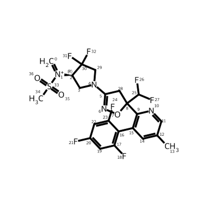 C=[N+]([C@@H]1CN(C2=NOC(c3ncc(C)cc3-c3c(F)cc(F)cc3F)(C(F)F)C2)CC1(F)F)S(C)(=O)=O